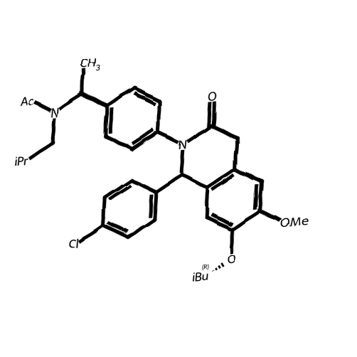 CC[C@@H](C)Oc1cc2c(cc1OC)CC(=O)N(c1ccc(C(C)N(CC(C)C)C(C)=O)cc1)C2c1ccc(Cl)cc1